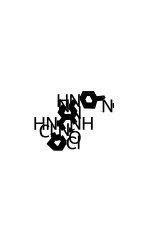 CN(C)Cc1ccc(Nc2ncc3c(=N)n(-c4c(Cl)cccc4Cl)c(=O)[nH]c3n2)cc1